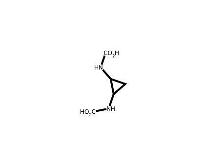 O=C(O)NC1CC1NC(=O)O